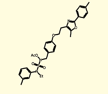 CCN(c1cccc(C)c1)S(=O)(=O)N(Cc1ccc(OCCc2nc(-c3ccc(C)cc3)oc2C)cc1)OC(C)=O